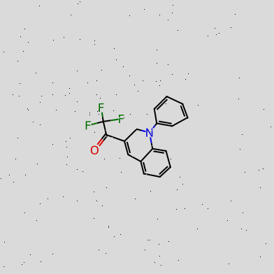 O=C(C1=Cc2ccccc2N(c2ccccc2)C1)C(F)(F)F